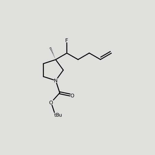 C=CCCC(F)[C@]1(C)CCN(C(=O)OC(C)(C)C)C1